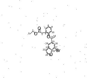 CCOC(=O)Cc1ccccc1OC(C)c1cc(Br)c2occc2c1